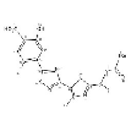 Cc1nc(C(C)NC(=O)C(C)(C)C)sc1-c1csc(-c2cc(O)c(C(=O)O)cc2F)n1